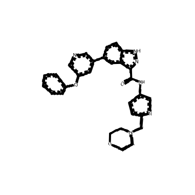 O=C(Nc1ccc(CN2CCOCC2)nc1)c1n[nH]c2ccc(-c3cncc(Oc4ccccc4)c3)cc12